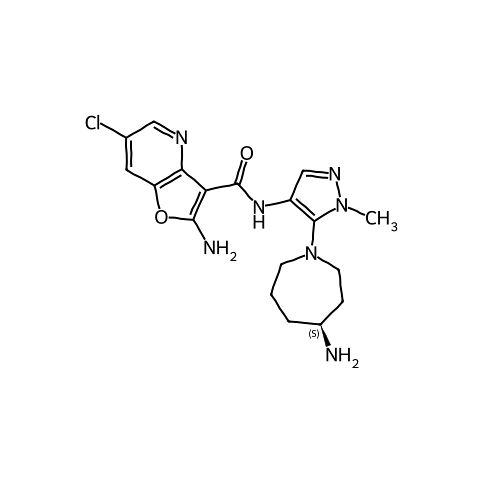 Cn1ncc(NC(=O)c2c(N)oc3cc(Cl)cnc23)c1N1CCC[C@H](N)CC1